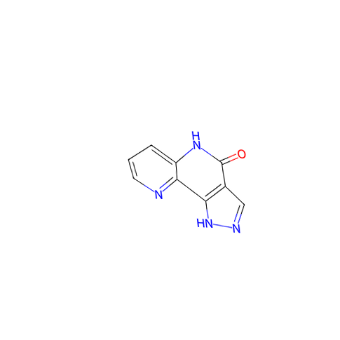 O=c1[nH]c2cccnc2c2[nH]ncc12